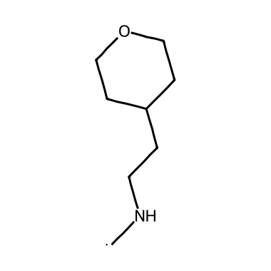 [CH2]NCCC1CCOCC1